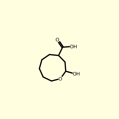 O=C(O)C1CCCCCOC(O)C1